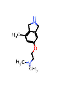 Cc1cc(OCCN(C)C)cc2c1CNC2